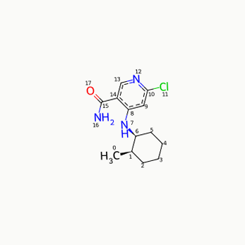 C[C@@H]1CCCC[C@@H]1Nc1cc(Cl)ncc1C(N)=O